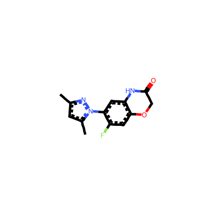 Cc1cc(C)n(-c2cc3c(cc2F)OCC(=O)N3)n1